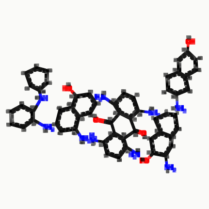 Nc1cc2ccccc2cc1O.Nc1ccc(N)c2c1C(=O)c1c(N)ccc(N)c1C2=O.Nc1ccc2cc(O)ccc2c1.Nc1cccc2c(O)cccc12.Nc1ccccc1Nc1ccccc1